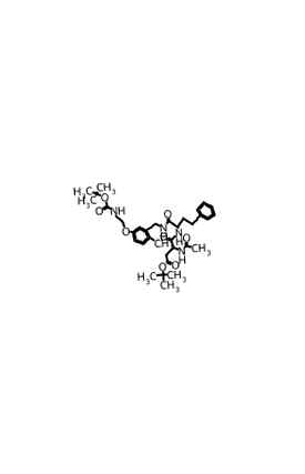 CC(=O)NC(CC(=O)OC(C)(C)C)C(=O)NC(CCc1ccccc1)C(=O)NCc1cc(OCCNC(=O)OC(C)(C)C)ccc1C